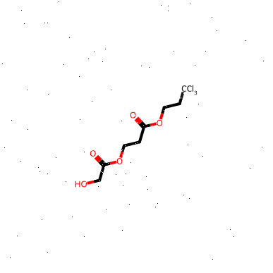 O=C(CO)OCCC(=O)OCCC(Cl)(Cl)Cl